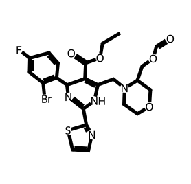 CCOC(=O)C1=C(CN2CCOCC2COC=O)NC(c2nccs2)=NC1c1ccc(F)cc1Br